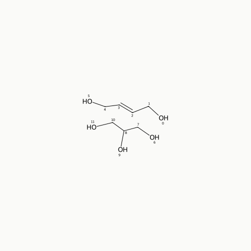 OC/C=C/CO.OCC(O)CO